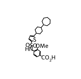 COc1cc(C(=O)O)ccc1NS(=O)(=O)c1ccc(C2CCC(C3CCCCCC3)CC2)s1